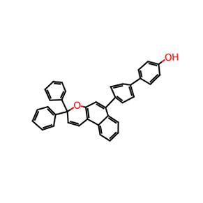 Oc1ccc(-c2ccc(-c3cc4c(c5ccccc35)C=CC(c3ccccc3)(c3ccccc3)O4)cc2)cc1